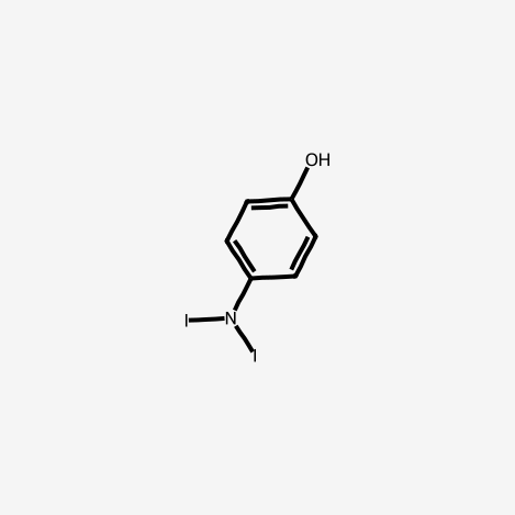 Oc1ccc(N(I)I)cc1